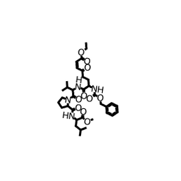 CCOC(=O)/C=C\C(=O)CCC(NC(=O)OCc1ccccc1)C(=O)NC(C(=O)N1CCCC1C(=O)NC(CC(C)C)C(=O)OC)C(C)C